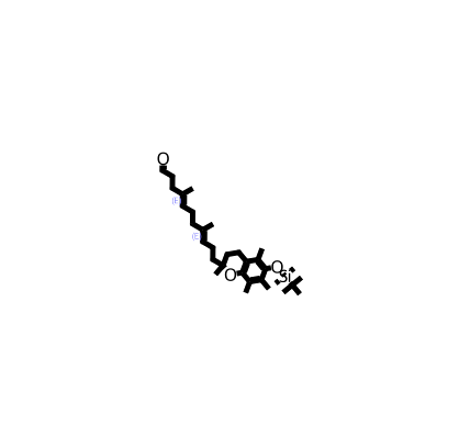 C/C(=C\CC/C(C)=C/CCC1(C)CCc2c(C)c(O[Si](C)(C)C(C)(C)C)c(C)c(C)c2O1)CCC=O